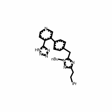 CCCCn1nc(CCC(C)C)nc1Cc1ccc(-c2cnccc2-c2nnn[nH]2)cc1